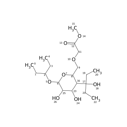 CCC(CC)OC1OC(COCC(=O)OC)C(C(O)(CC)CC)C(O)C1O